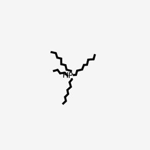 CCCCCCCC[PH](CCCCC)(CCCCCCCC)CCCCCCCC